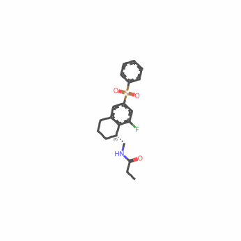 CCC(=O)NC[C@@H]1CCCc2cc(S(=O)(=O)c3ccccc3)cc(F)c21